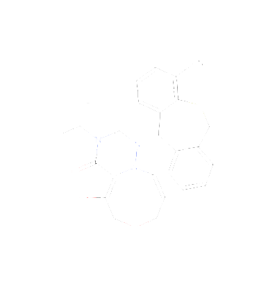 C[C@@H](N1CN([C@H]2c3ccccc3CSc3c(C#N)cccc32)N2/C=C\COC/C(O)=C\2C1=O)C(F)(F)F